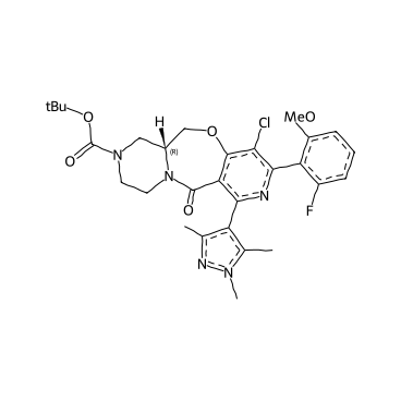 COc1cccc(F)c1-c1nc(-c2c(C)nn(C)c2C)c2c(c1Cl)OC[C@H]1CN(C(=O)OC(C)(C)C)CCN1C2=O